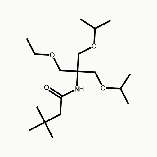 CCOCC(COC(C)C)(COC(C)C)NC(=O)CC(C)(C)C